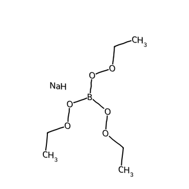 CCOOB(OOCC)OOCC.[NaH]